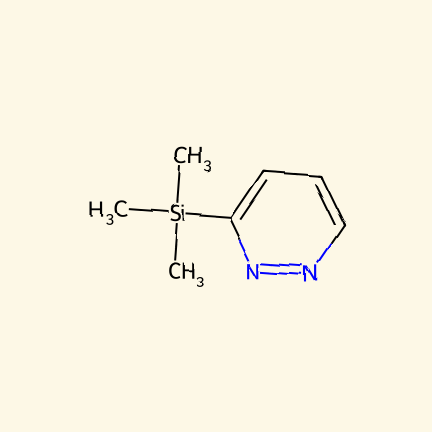 C[Si](C)(C)c1cccnn1